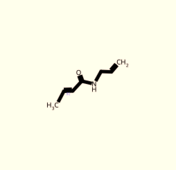 C=CCNC(=O)/C=C/C